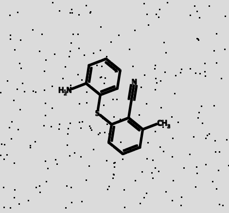 Cc1cccc(Sc2ccccc2N)c1C#N